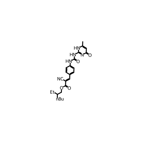 CCCCC(CC)COC(=O)/C(C#N)=C/c1ccc(NC(=O)Nc2nc(=O)cc(C)[nH]2)cc1